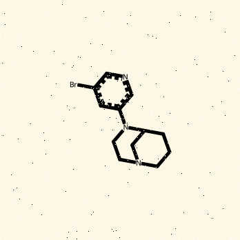 Brc1cncc(N2CCN3CCCC2C3)c1